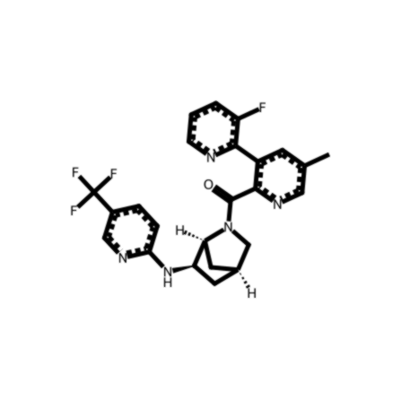 Cc1cnc(C(=O)N2C[C@H]3C[C@@H](Nc4ccc(C(F)(F)F)cn4)[C@@H]2C3)c(-c2ncccc2F)c1